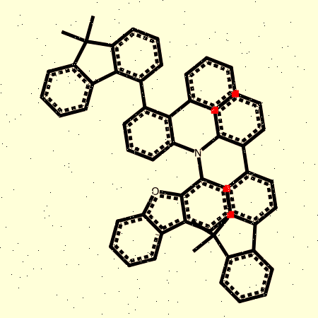 CC1(C)c2ccccc2-c2ccc(-c3ccccc3N(c3cccc(-c4cccc5c4-c4ccccc4C5(C)C)c3-c3ccccc3)c3cccc4c3oc3ccccc34)cc21